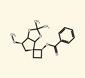 CO[C@@H]1C[C@@]2(CC[C@@H]2OC(=O)c2ccccc2)C2OC(C)(C)OC21